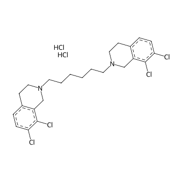 Cl.Cl.Clc1ccc2c(c1Cl)CN(CCCCCCN1CCc3ccc(Cl)c(Cl)c3C1)CC2